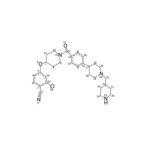 N#Cc1ccc(OC2CCN(C(=O)c3ccc(C4CCN(CC5CCNCC5)CC4)cc3)CC2)cc1Cl